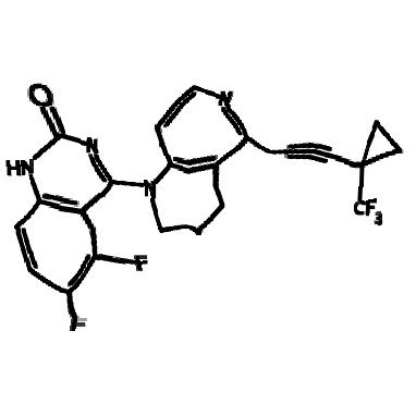 O=c1nc(N2CCCc3c2ccnc3C#CC2(C(F)(F)F)CC2)c2c(F)c(F)ccc2[nH]1